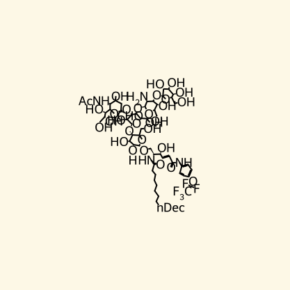 CCCCCCCCCCCCCCCCCC(=O)N[C@@H](CO[C@@H]1OC(CO)[C@@H](O[C@@H]2OC(CO)[C@H](O[C@@H]3OC(CO)[C@H](O)C(O[C@@H]4OC(CO)[C@H](O)C(O)C4O)C3N)C(O[C@]3(C=O)CC(O)[C@@H](NC(C)=O)C([C@H](O)[C@H](O)CO)O3)C2O)C(O)C1O)[C@H](O)/C=C/C(=O)Nc1ccc(OC(F)(F)C(F)(F)F)cc1